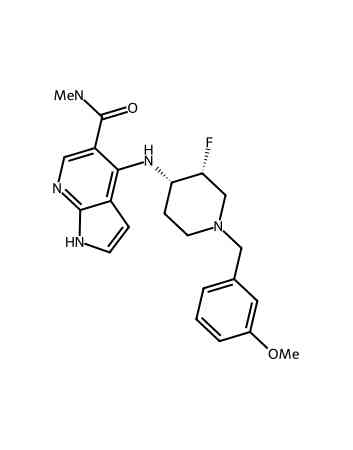 CNC(=O)c1cnc2[nH]ccc2c1N[C@H]1CCN(Cc2cccc(OC)c2)C[C@H]1F